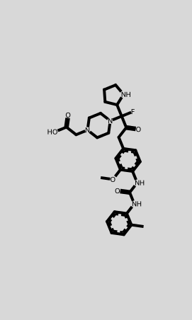 COc1cc(CC(=O)C(F)(C2CCCN2)N2CCN(CC(=O)O)CC2)ccc1NC(=O)Nc1ccccc1C